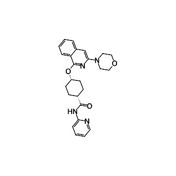 O=C(Nc1ccccn1)[C@H]1CC[C@@H](Oc2nc(N3CCOCC3)cc3ccccc23)CC1